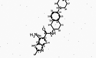 Cc1nc2sc(C(=O)N[C@@H]3CCc4cc(N5CCNCC5)ccc4C3)c(N)c2s1